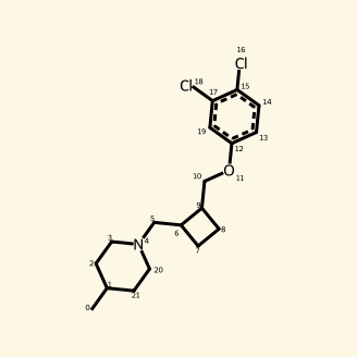 CC1CCN(CC2CCC2COc2ccc(Cl)c(Cl)c2)CC1